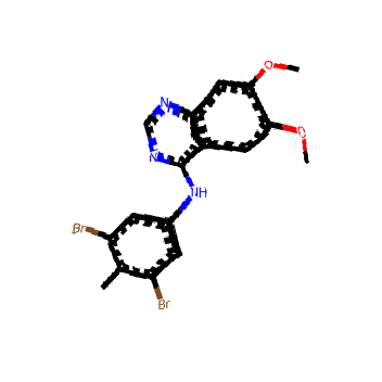 COc1cc2ncnc(Nc3cc(Br)c(C)c(Br)c3)c2cc1OC